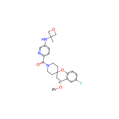 CC(C)O[C@@H]1CC2(CCN(C(=O)c3ccc(NC4(C)COC4)cn3)CC2)Oc2ccc(F)cc21